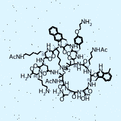 CC(=O)NCCCCC[C@H](NC(=O)[C@](C)(CCCCN)NC(=O)[C@H](Cc1ccc2ccccc2c1)NC(=O)[C@H](Cc1ccc(OCCN)cc1)NC(=O)[C@H]1NC(=O)[C@H](CCCCNC(C)=O)NC(=O)[C@H](Cc2c[nH]c3c(C)cccc23)NC(=O)[C@H]([C@@H](C)O)NC(=O)[C@H](CC(N)=O)NC(=O)[C@@H](NC(C)=O)C(C)(C)SSC1(C)C)C(=O)N[C@@H](CC(N)=O)C(=O)N[C@H](CCCCN)C(N)=O